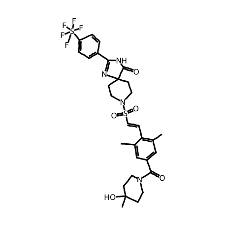 Cc1cc(C(=O)N2CCC(C)(O)CC2)cc(C)c1C=CS(=O)(=O)N1CCC2(CC1)N=C(c1ccc(S(F)(F)(F)(F)F)cc1)NC2=O